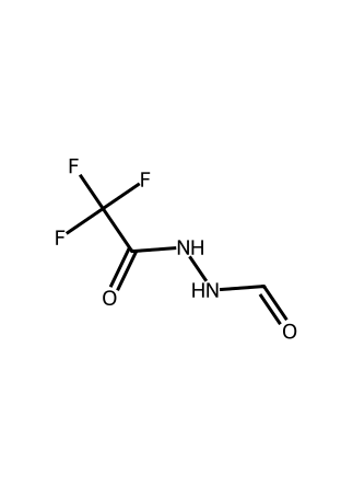 O=CNNC(=O)C(F)(F)F